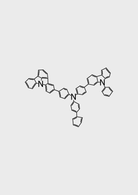 c1ccc(-c2ccc(N(c3ccc(-c4ccc5c(c4)c4cccc6c7ccccc7n5c64)cc3)c3ccc(-c4ccc5c6ccccc6n(-c6ccccc6)c5c4)cc3)cc2)cc1